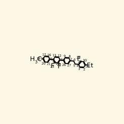 CCc1ccc(CCc2ccc(-c3ccc(-c4ccc(C)cc4)c(F)c3F)cc2)c(F)c1